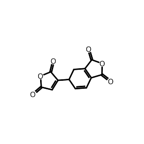 O=C1C=C(C2C=CC3=C(C2)C(=O)OC3=O)C(=O)O1